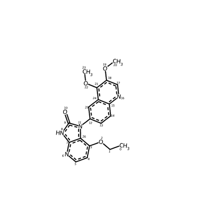 CCOc1ccnc2[nH]c(=O)n(-c3ccc4ncc(OC)c(OC)c4c3)c12